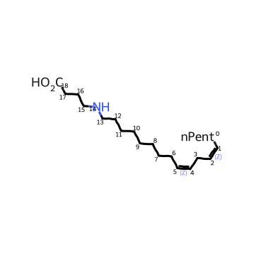 CCCCC/C=C\C/C=C\CCCCCCCCNCCCC(=O)O